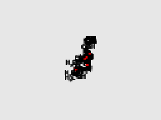 CC(C)[C@H](O)C(=O)N[C@H]1Cc2ccc3c(c2)C2(c4ccccc4N[C@H]2O3)c2oc(nc2-c2nc(C(=O)N[C@@H]3CCCc4ccccc43)co2)[C@H](C(C)C)NC1=O